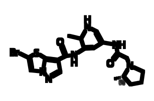 CC1NC=C(NC(=O)CN2CCC[C@@H]2C)C=C1NC(=O)c1cnn2cc(Br)sc12